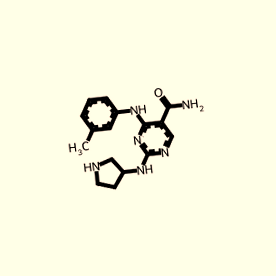 Cc1cccc(Nc2nc(NC3CCNC3)ncc2C(N)=O)c1